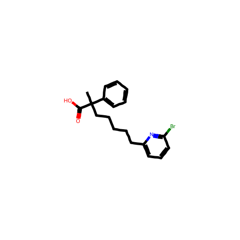 CC(CCCCCc1cccc(Br)n1)(C(=O)O)c1ccccc1